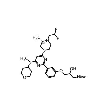 CNCC(O)COc1cccc(-c2nc(N3CCN(CC(F)F)[C@@H](C)C3)cc(N(C)C3CCOCC3)n2)c1